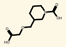 O=C(O)COCC1CCCN(C(=O)O)C1